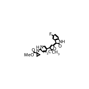 COC(=O)C1(Nc2ccc(C3=CC(=C4C(=O)Nc5ccc(F)cc54)OC3(C)C)cn2)CC1